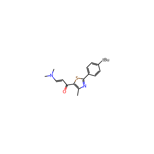 Cc1nc(-c2ccc(C(C)(C)C)cc2)sc1C(=O)/C=C/N(C)C